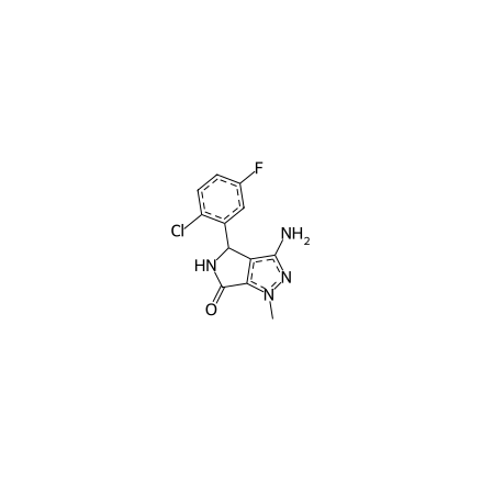 Cn1nc(N)c2c1C(=O)NC2c1cc(F)ccc1Cl